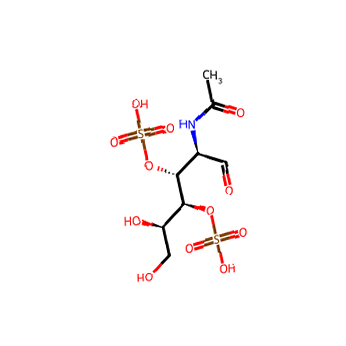 CC(=O)N[C@@H](C=O)[C@@H](OS(=O)(=O)O)[C@@H](OS(=O)(=O)O)[C@H](O)CO